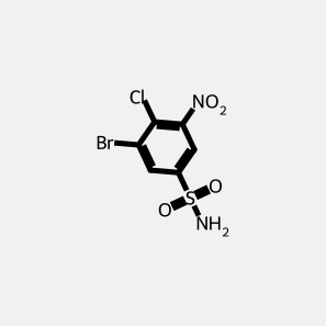 NS(=O)(=O)c1cc(Br)c(Cl)c([N+](=O)[O-])c1